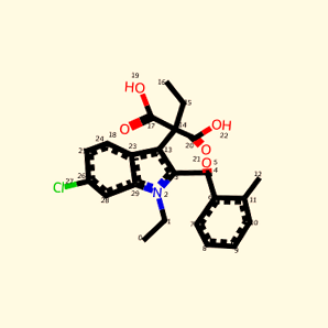 CCn1c(C(=O)c2ccccc2C)c(C(CC)(C(=O)O)C(=O)O)c2ccc(Cl)cc21